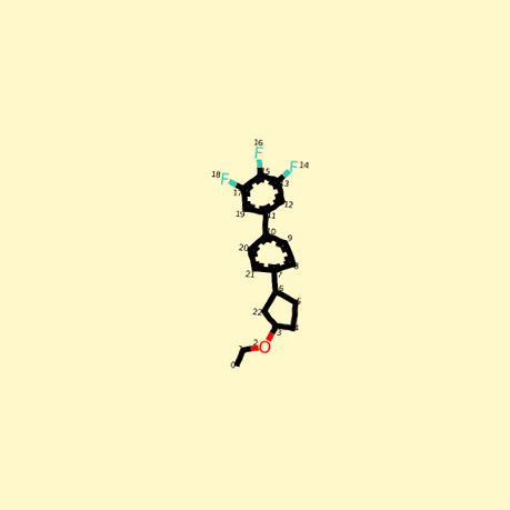 CCOC1CCC(c2ccc(-c3cc(F)c(F)c(F)c3)cc2)C1